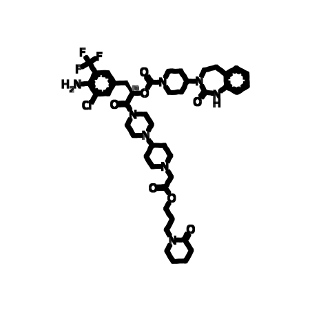 Nc1c(Cl)cc(C[C@@H](OC(=O)N2CCC(N3CCc4ccccc4NC3=O)CC2)C(=O)N2CCN(C3CCN(CC(=O)OCCCN4CCCCC4=O)CC3)CC2)cc1C(F)(F)F